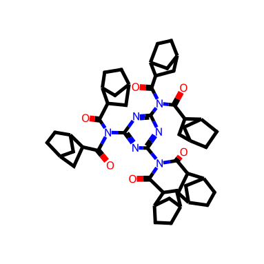 O=C(C1CC2CCC1C2)N(C(=O)C1CC2CCC1C2)c1nc(N(C(=O)C2CC3CCC2C3)C(=O)C2CC3CCC2C3)nc(N(C(=O)C2CC3CCC2C3)C(=O)C2CC3CCC2C3)n1